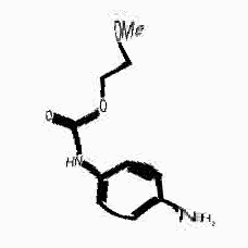 COCCOC(=O)Nc1ccc(N)cc1